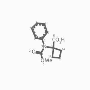 COC(=O)N(c1ccccc1)C1(C(=O)O)CCC1